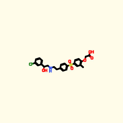 Cc1cc(S(=O)(=O)c2ccc(CCNC[C@@H](O)c3cccc(Cl)c3)cc2)ccc1OCC(=O)O